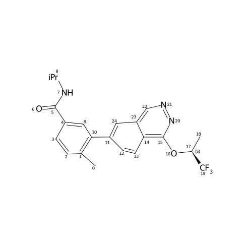 Cc1ccc(C(=O)NC(C)C)cc1-c1ccc2c(O[C@@H](C)C(F)(F)F)nncc2c1